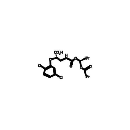 CC(C)C(=O)O[C@@H](OC(=O)NC[C@H](Oc1cc(Cl)ccc1Cl)C(=O)O)C(C)C